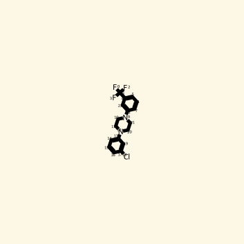 FC(F)(F)c1cccc(N2CCN(c3cccc(Cl)c3)CC2)c1